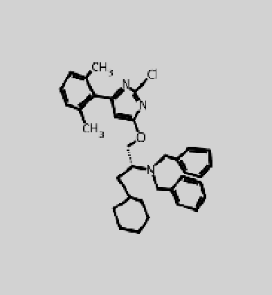 Cc1cccc(C)c1-c1cc(OC[C@@H](CC2CCCCC2)N(Cc2ccccc2)Cc2ccccc2)nc(Cl)n1